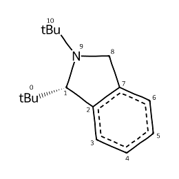 CC(C)(C)[C@H]1c2ccccc2CN1C(C)(C)C